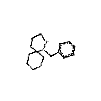 c1ccc(C[N+]2NCCCC23CCCCC3)cc1